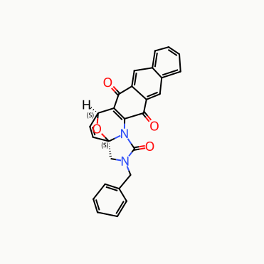 O=C1C2=C(C(=O)c3cc4ccccc4cc31)N1C(=O)N(Cc3ccccc3)C[C@@]13C=C[C@@H]2O3